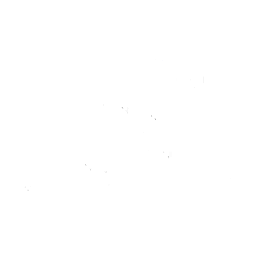 COCCNC(=O)c1cc2c(c3c1CCC1(Cc4ccccc4C1)N3)NC(C)N2C.O=C(O)/C=C\C(=O)O